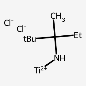 CCC(C)([NH][Ti+2])C(C)(C)C.[Cl-].[Cl-]